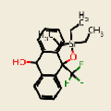 CC[Si](CC)(CC)OC1(C(F)(F)F)c2ccccc2C(O)c2ccccc21